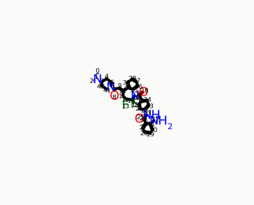 CN(C)C1CCN(C(=O)C=C2CC(F)C(F)N(C(=O)c3ccc(NC(=O)c4ccccc4N)cc3)c3ccccc32)CC1